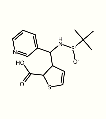 CC(C)(C)[S+]([O-])NC(c1cccnc1)C1C=CSC1C(=O)O